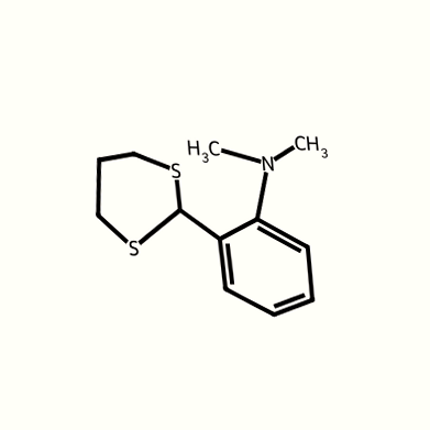 CN(C)c1ccccc1C1SCCCS1